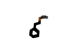 CC(=O)OSCCc1ccccc1